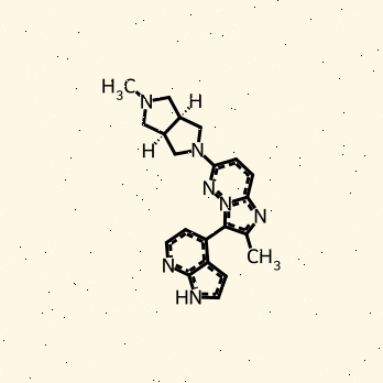 Cc1nc2ccc(N3C[C@H]4CN(C)C[C@H]4C3)nn2c1-c1ccnc2[nH]ccc12